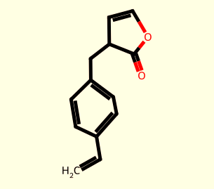 C=Cc1ccc(CC2C=COC2=O)cc1